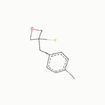 Cc1ccc(CC2(F)COC2)cc1